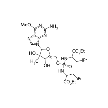 CCOC(=O)C(CC(C)C)NP(=O)(NC(CC(C)C)C(=O)OCC)OC[C@H]1OC(n2cnc3c(OC)nc(N)nc32)C(C)(O)C1O